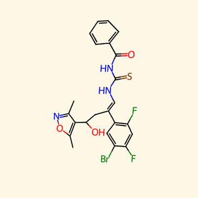 Cc1noc(C)c1C(O)C/C(=C\NC(=S)NC(=O)c1ccccc1)c1cc(Br)c(F)cc1F